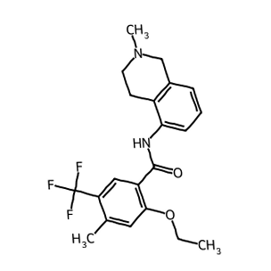 CCOc1cc(C)c(C(F)(F)F)cc1C(=O)Nc1cccc2c1CCN(C)C2